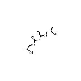 CC(O)COC(=O)CC(=O)OCC(C)O